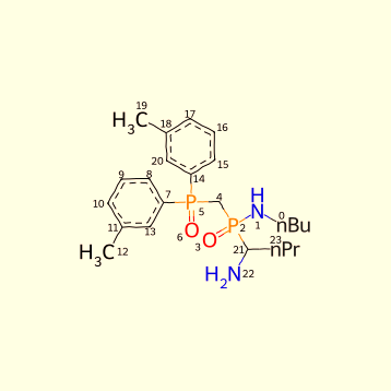 CCCCNP(=O)(CP(=O)(c1cccc(C)c1)c1cccc(C)c1)C(N)CCC